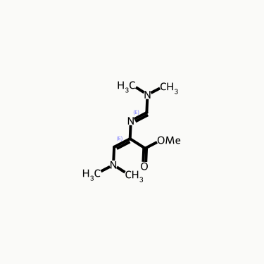 COC(=O)C(=C\N(C)C)/N=C/N(C)C